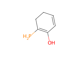 OC1=C(P)CCC=C1